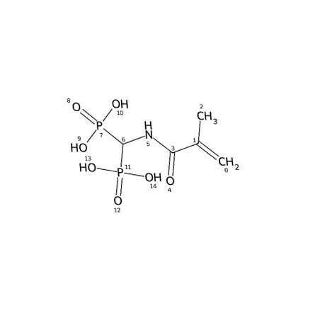 C=C(C)C(=O)NC(P(=O)(O)O)P(=O)(O)O